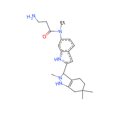 CCN(C(=O)CCN)c1ccc2cc(C3C4=C(CC(C)(C)CC4)NN3C)[nH]c2c1